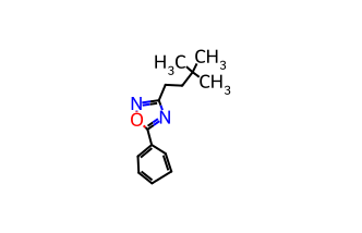 CC(C)(C)CCc1noc(-c2ccccc2)n1